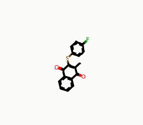 CC1=C(Sc2ccc(F)cc2)C(=O)c2ccccc2C1=O